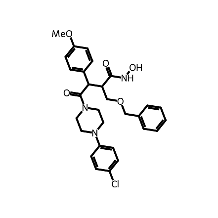 COc1ccc(C(C(=O)N2CCN(c3ccc(Cl)cc3)CC2)C(COCc2ccccc2)C(=O)NO)cc1